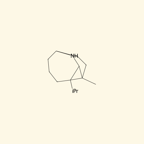 CC(C)C12CCCC3CCC1(C)C2N3